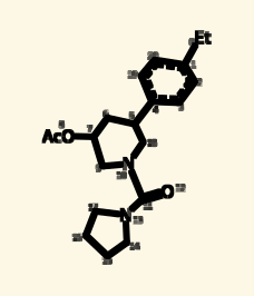 CCc1ccc(C2CC(OC(C)=O)CN(C(=O)N3CCCC3)C2)cc1